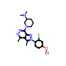 CCOc1ccc(-n2nc3c(N4CCCC(N(C)C)C4)nnc(C)c3c2C)c(F)c1